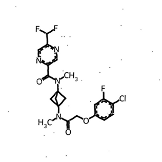 CN(C(=O)COc1ccc(Cl)c(F)c1)C12CC(N(C)C(=O)c3cnc(C(F)F)cn3)(C1)C2